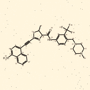 CC1SC(C#Cc2cnc(N)c3ccccc23)=NC1C(=O)Nc1ccc(CN2CCN(C)CC2)c(C(F)(F)F)c1